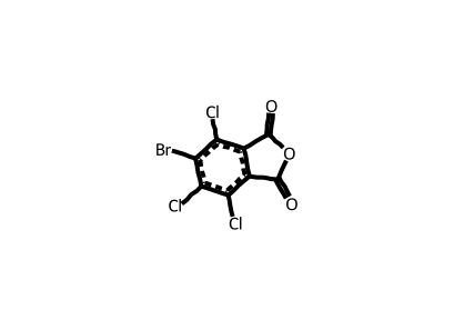 O=C1OC(=O)c2c(Cl)c(Br)c(Cl)c(Cl)c21